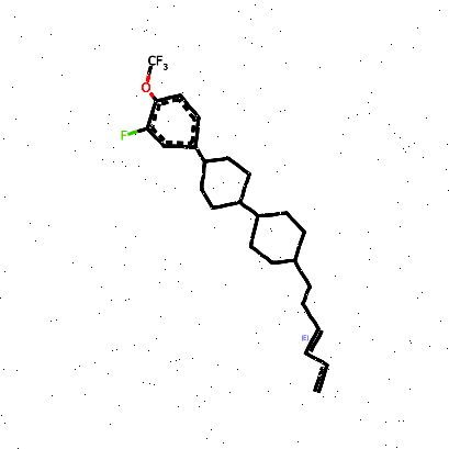 C=C/C=C/CCC1CCC(C2CCC(c3ccc(OC(F)(F)F)c(F)c3)CC2)CC1